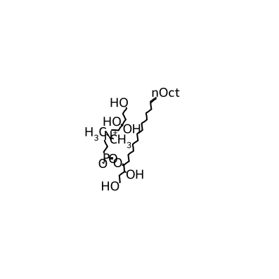 CCCCCCCCC=CCCCCCCCCCCCC(=O)C(O)CCO.C[N+](C)(CCCP(=O)=O)CCC(O)(O)CCCO